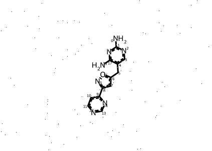 Nc1ncc(Cc2cc(-c3ccncn3)no2)c(N)n1